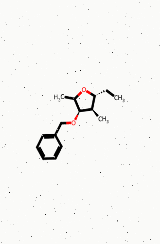 CC[C@H]1OC(C)[C@H](OCc2ccccc2)[C@@H]1C